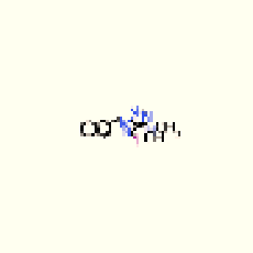 CN(C)c1ncnc2c1c(I)nn2Cc1ccc2c(c1)CCCC2